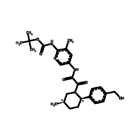 Cc1cc(NC(=O)C(=O)N2C[C@@H](C)CC[C@@H]2c2ccc(CO)cc2)cnc1NC(=O)OC(C)(C)C